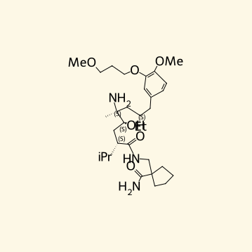 CC[C@@H](Cc1ccc(OC)c(OCCCOC)c1)C[C@](C)(N)[C@@H](O)C[C@H](C(=O)NCC1(C(N)=O)CCCC1)C(C)C